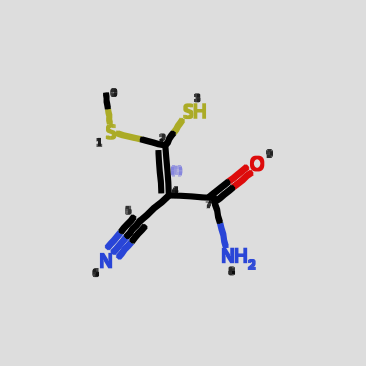 CS/C(S)=C(\C#N)C(N)=O